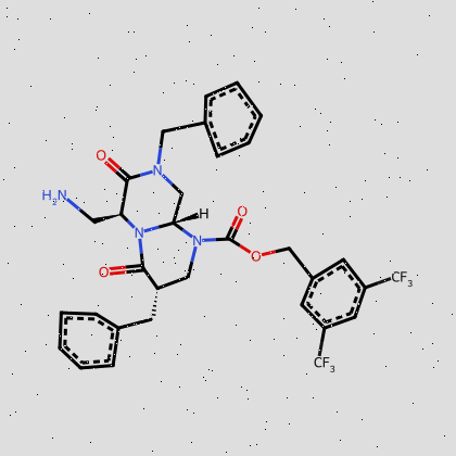 NC[C@H]1C(=O)N(Cc2ccccc2)C[C@@H]2N(C(=O)OCc3cc(C(F)(F)F)cc(C(F)(F)F)c3)C[C@H](Cc3ccccc3)C(=O)N21